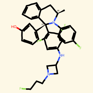 C[C@@H]1Cc2ccccc2[C@@](c2cccc(O)c2)(c2c(F)cc(NC3CN(CCCF)C3)cc2F)N1c1ccc(F)cc1